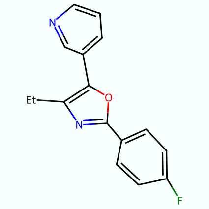 CCc1nc(-c2ccc(F)cc2)oc1-c1cccnc1